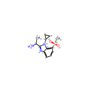 CC(N)c1nc2cccc(S(C)(=O)=O)c2n1C1CC1